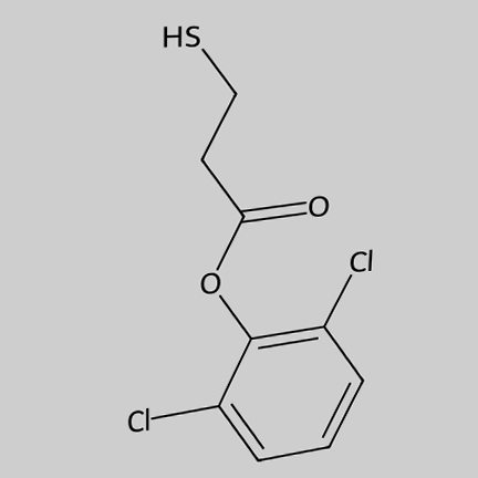 O=C(CCS)Oc1c(Cl)cccc1Cl